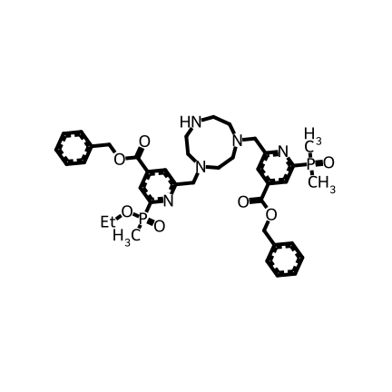 CCOP(C)(=O)c1cc(C(=O)OCc2ccccc2)cc(CN2CCNCCN(Cc3cc(C(=O)OCc4ccccc4)cc(P(C)(C)=O)n3)CC2)n1